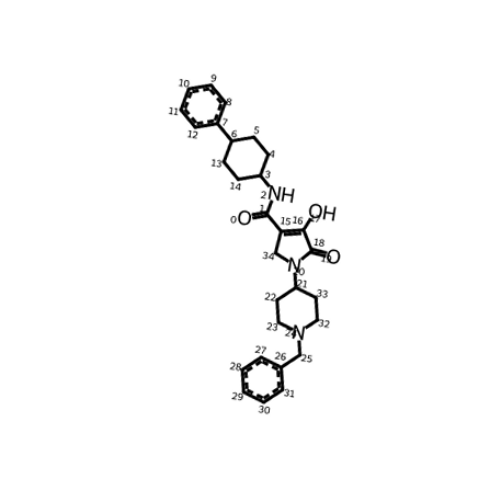 O=C(NC1CCC(c2ccccc2)CC1)C1=C(O)C(=O)N(C2CCN(Cc3ccccc3)CC2)C1